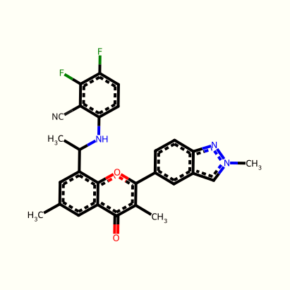 Cc1cc(C(C)Nc2ccc(F)c(F)c2C#N)c2oc(-c3ccc4nn(C)cc4c3)c(C)c(=O)c2c1